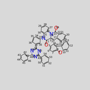 O=c1c2c(-c3cccc4oc5ccccc5c34)c3ccccc3c(=O)n2c2ccccc2n1-c1cccc(-c2nc(-c3ccccc3)nc(-c3ccccc3)n2)c1